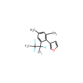 Cc1[c]c(C)c(-c2ccoc2)c(C(F)(C(F)(F)F)C(F)(F)C(F)(F)F)c1